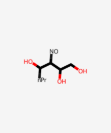 CCCC(O)C(N=O)C(O)CO